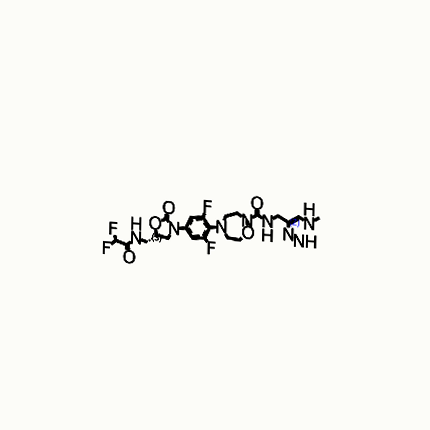 CN/C=C(/CNC(=O)N1CCN(c2c(F)cc(N3C[C@H](CNC(=O)C(F)F)OC3=O)cc2F)CCO1)N=N